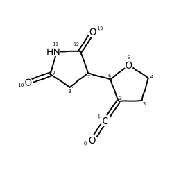 O=C=C1CCOC1C1[CH]C(=O)NC1=O